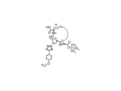 COc1ccc(-c2nnn([C@@H]3C[C@H]4C(=O)N[C@]5(C(=O)O)C[C@H]5/C=C\CCCCC[C@H](NC(=O)OC(C)(C)C)C(=O)N4C3)n2)cc1